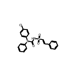 O=C(NS(=O)(=O)C=Cc1ccccc1)N(c1ccccc1)c1ccc(Cl)cc1